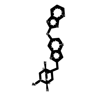 CC(=O)N1C[C@@H]2CC[C@H]1CN2Cc1cc2ncc(Oc3nc4ncccc4s3)cc2o1